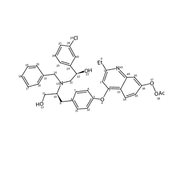 CCc1cc(Oc2ccc(C[C@@H](CO)N(Cc3ccccc3)C[C@H](O)c3cccc(Cl)c3)cc2)c2ccc(OOC(C)=O)cc2n1